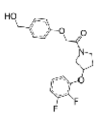 O=C(COc1ccc(CO)cc1)N1CCC(Oc2cccc(F)c2F)C1